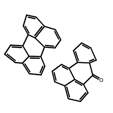 O=C1c2ccccc2-c2cccc3cccc1c23.c1cc2cccc3c4cccc5cccc(c(c1)c23)c54